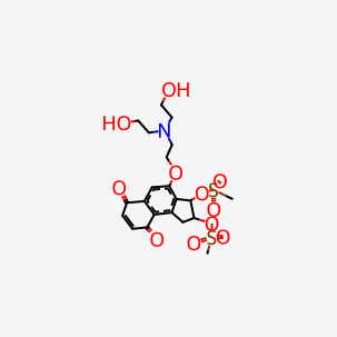 CS(=O)(=O)OC1Cc2c3c(cc(OCCN(CCO)CCO)c2C1OS(C)(=O)=O)C(=O)C=CC3=O